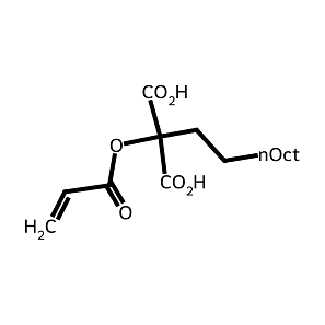 C=CC(=O)OC(CCCCCCCCCC)(C(=O)O)C(=O)O